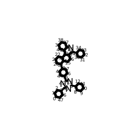 c1ccc(-c2nc(-c3ccccc3)nc(-c3ccc(-c4cccc5c4ccc4c(-c6ccccc6)nc6ccccc6c45)cc3)n2)cc1